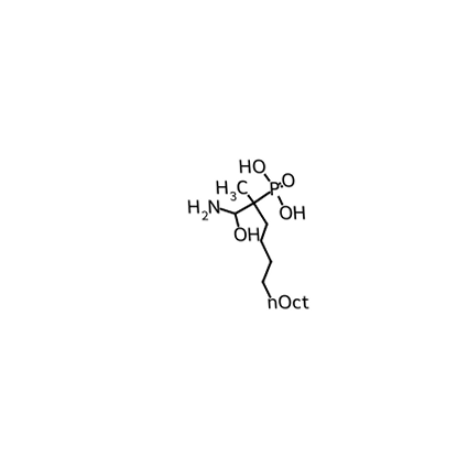 CCCCCCCCCCCCC(C)(C(N)O)P(=O)(O)O